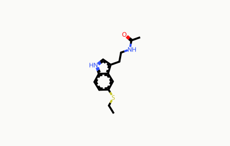 CCSc1ccc2[nH]cc(CCNC(C)=O)c2c1